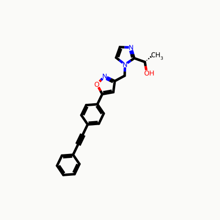 C[C@H](O)c1nccn1Cc1cc(-c2ccc(C#Cc3ccccc3)cc2)on1